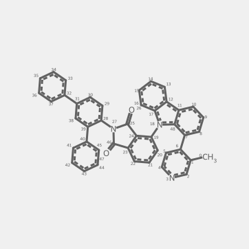 Cc1cnccc1-c1cccc2c3ccccc3n(-c3cccc4c3C(=O)N(c3ccc(-c5ccccc5)cc3-c3ccccc3)C4=O)c12